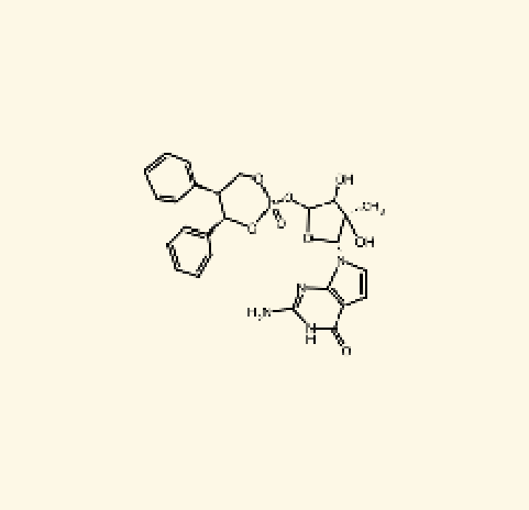 C[C@@]1(O)[C@H](O)C(OP2(=O)OC[C@H](c3ccccc3)[C@H](c3ccccc3)O2)O[C@H]1n1ccc2c(=O)[nH]c(N)nc21